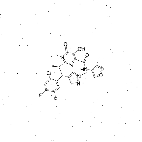 C[C@@H](c1nc(C(=O)Nc2cnoc2)c(O)c(=O)n1C)[C@H](c1cnn(C)c1)c1cc(F)c(F)cc1Cl